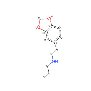 CCCNCCc1ccc2c(c1)OCO2